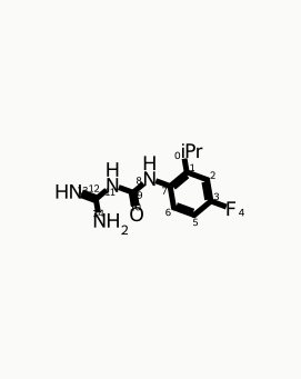 CC(C)c1cc(F)ccc1NC(=O)NC(=N)N